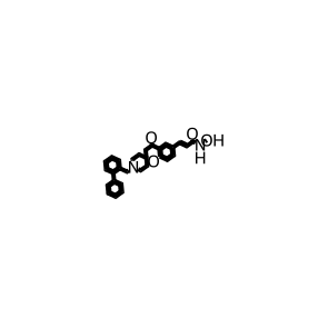 O=C(/C=C/c1ccc2c(c1)C(=O)CC1(CCN(Cc3ccccc3-c3ccccc3)CC1)O2)NO